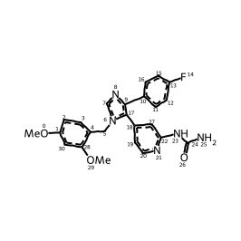 COc1ccc(Cn2cnc(-c3ccc(F)cc3)c2-c2ccnc(NC(N)=O)c2)c(OC)c1